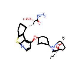 NC(=O)[C@@H](O)C[C@H]1CCc2sc3nccc(O[C@H]4CC[C@H](N5C[C@H]6CC[C@@H](C5)O6)CC4)c3c21